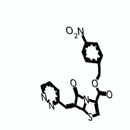 O=C(OCc1ccc([N+](=O)[O-])cc1)C1=CSC2C(=Cc3cccnn3)C(=O)N12